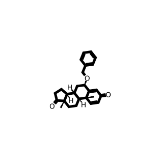 C[C@]12C=CC(=O)C=C1[C@H](OCc1ccccc1)C[C@@H]1[C@@H]2CC[C@]2(C)C(=O)CC[C@@H]12